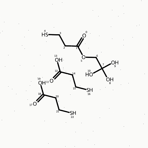 O=C(CCS)OCC(O)(O)O.O=C(O)CCS.O=C(O)CCS